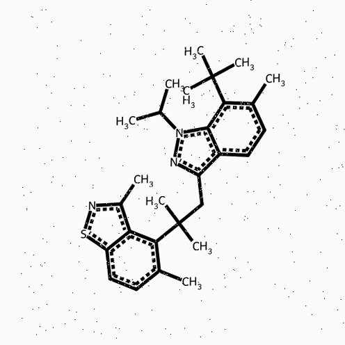 Cc1ccc2snc(C)c2c1C(C)(C)Cc1nn(C(C)C)c2c(C(C)(C)C)c(C)ccc12